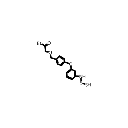 CCC(=O)COCc1ccc(Oc2cccc(NSS)c2)cc1